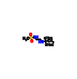 CCCCCCC(C)(CCCCCC)NCCNS(C)(=O)=O